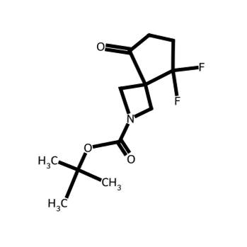 CC(C)(C)OC(=O)N1CC2(C1)C(=O)CCC2(F)F